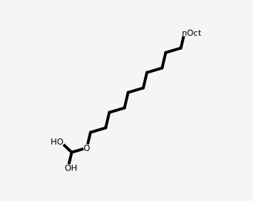 CCCCCCCCCCCCCCCCCCOC(O)O